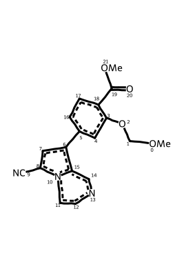 COCOc1cc(-c2cc(C#N)n3ccncc23)ccc1C(=O)OC